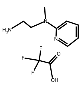 CN(CCN)c1ccccn1.O=C(O)C(F)(F)F